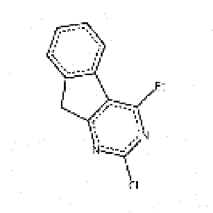 CCc1nc(Cl)nc2c1-c1ccccc1C2